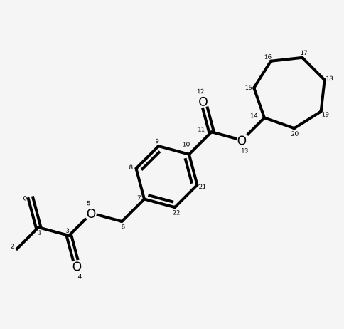 C=C(C)C(=O)OCc1ccc(C(=O)OC2CCCCCC2)cc1